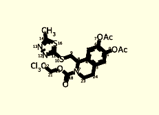 CC(=O)Oc1cc2c(cc1OC(C)=O)C(CSc1nnc(C)s1)N(C(=O)OCC(Cl)(Cl)Cl)CC2